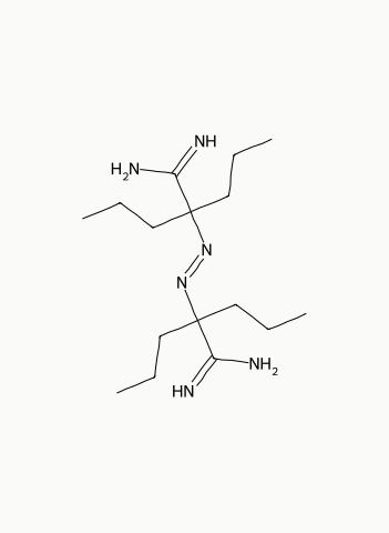 CCCC(CCC)(/N=N/C(CCC)(CCC)C(=N)N)C(=N)N